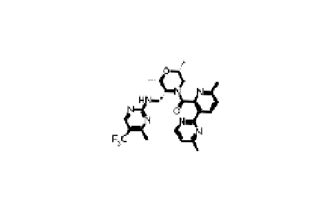 Cc1ccnc(-c2ccc(C)nc2C(=O)N2C[C@@H](C)O[C@@H](C)[C@H]2CNc2ncc(C(F)(F)F)c(C)n2)n1